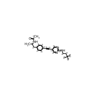 CC(=O)NC(C)Cc1ccc(C#Cc2cnc(NCCC(F)(F)F)nc2)cc1